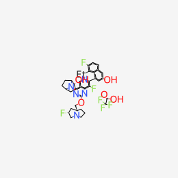 CCc1c(F)ccc2cc(O)cc(-c3ncc4c(N5C6CCC(O)C5CC6)nc(OC[C@@]56CCCN5C[C@H](F)C6)nc4c3F)c12.O=C(O)C(F)(F)F